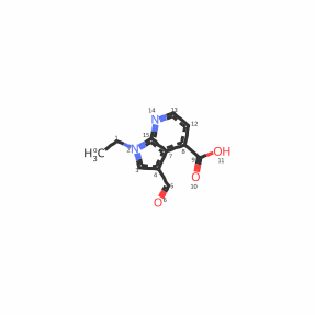 CCn1cc(C=O)c2c(C(=O)O)ccnc21